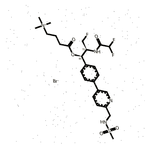 C[N+](C)(C)CCCC(=O)O[C@H](c1ccc(-c2ccc(CNS(C)(=O)=O)nc2)cc1)[C@@H](CF)NC(=O)C(F)F.[Br-]